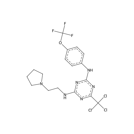 FC(F)(F)Oc1ccc(Nc2nc(NCCN3CCCC3)nc(C(Cl)(Cl)Cl)n2)cc1